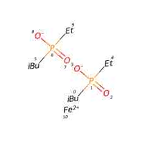 CCC(C)P(=O)([O-])CC.CCC(C)P(=O)([O-])CC.[Fe+2]